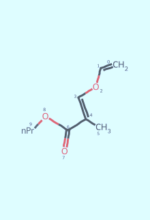 C=COC=C(C)C(=O)OCCC